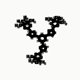 CC1(C)OB(c2ccc(-c3cc(-c4ccc(B5OC(C)(C)C(C)(C)O5)s4)cc(-c4ccc(B5OC(C)(C)C(C)(C)O5)s4)c3)s2)OC1(C)C